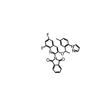 Cc1ccc(-n2cccn2)c(C(C)Oc2cc3cc(F)cc(F)c3nc2N2C(=O)c3ccccc3C2=O)c1